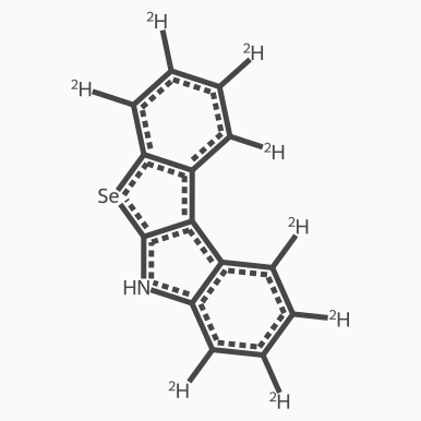 [2H]c1c([2H])c([2H])c2c([nH]c3[se]c4c([2H])c([2H])c([2H])c([2H])c4c32)c1[2H]